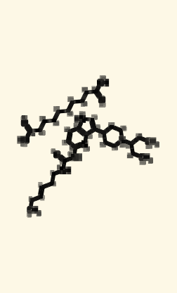 CCC=CCCNC(=O)Nc1ccc2[nH]cc(C3CCN(C(CC)CC)CC3)c2n1.O=C(O)CCCCCCCCC(=O)O